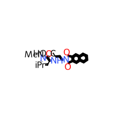 CNN(C)C(=O)[C@H](CC(C)C)N[C@H](CCN1C(=O)c2cc3ccccc3cc2C1=O)C(=O)O